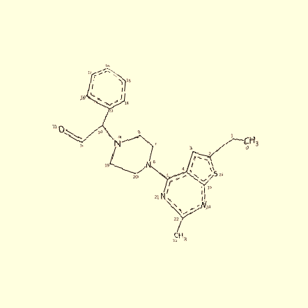 CCc1cc2c(N3CCN(C(C=O)c4ccccc4)CC3)nc(C)nc2s1